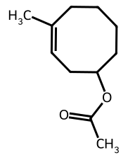 CC(=O)OC1CC=C(C)CCCC1